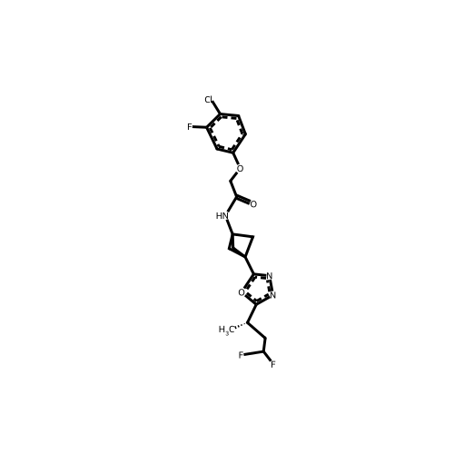 C[C@@H](CC(F)F)c1nnc(C23CC(NC(=O)COc4ccc(Cl)c(F)c4)(C2)C3)o1